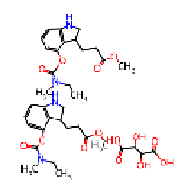 CCN(C)C(=O)Oc1cccc2c1C(CCC(=O)OC)CN2.CCN(C)C(=O)Oc1cccc2c1C(CCC(=O)OC)CN2.O=C(O)C(O)C(O)C(=O)O